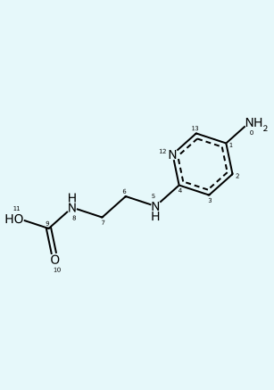 Nc1ccc(NCCNC(=O)O)nc1